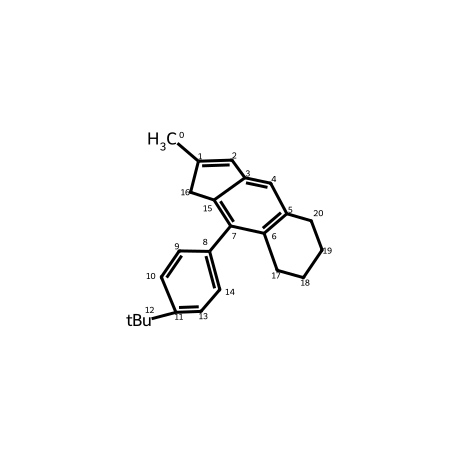 CC1=Cc2cc3c(c(-c4ccc(C(C)(C)C)cc4)c2C1)CCCC3